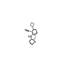 Cc1ncccc1Nc1nccc(C2CCC2)c1C#N